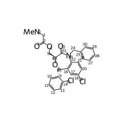 CNCC(=O)OC[C@@H]1O[C@@H](c2ccccc2Cl)c2cc(Cl)ccc2N(Cc2ccccc2)C1=O